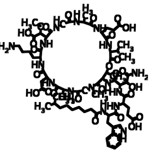 COC(C(=O)O)C1NC(=O)C(CCCCN)NC(=O)C(CC(=O)O)NC(=O)C(C)NC(=O)CN(C)C(=O)C(NC(=O)C(NC(=O)C(CCC(=O)O)NC(=O)C(Cc2c[nH]c3ccccc23)NC(=O)CCCCCCC(C)C)C(O)C(N)=O)C(C)OC(=O)C(C(C)C)NC(=O)C(CCC(=O)O)NC(=O)C(C)NC(=O)CNC1=O